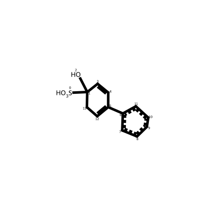 O=S(=O)(O)C1(O)C=CC(c2ccccc2)=CC1